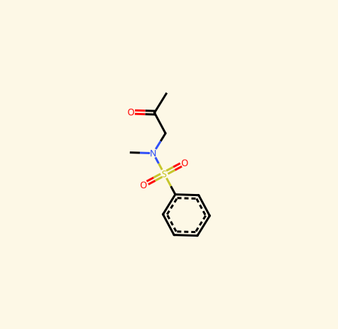 CC(=O)CN(C)S(=O)(=O)c1ccccc1